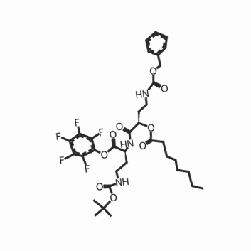 CCCCCCCC(=O)O[C@H](CCNC(=O)OCc1ccccc1)C(=O)N[C@@H](CCNC(=O)OC(C)(C)C)C(=O)Oc1c(F)c(F)c(F)c(F)c1F